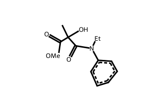 CCN(C(=O)C(C)(O)C(=O)OC)c1ccccc1